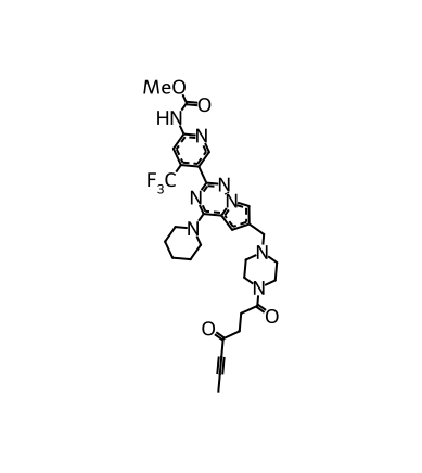 CC#CC(=O)CCC(=O)N1CCN(Cc2cc3c(N4CCCCC4)nc(-c4cnc(NC(=O)OC)cc4C(F)(F)F)nn3c2)CC1